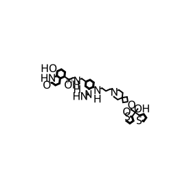 N=Nc1cc(CNC[C@H](O)c2ccc(O)c3[nH]c(=O)ccc23)ccc1NCCCN1CCC2(CC1)CC(OC(=O)C(O)(c1cccs1)c1cccs1)C2